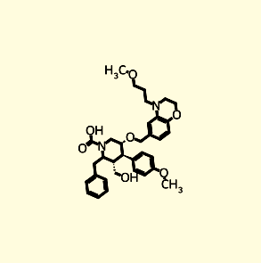 COCCCN1CCOc2ccc(CO[C@H]3CN(C(=O)O)C(Cc4ccccc4)[C@@H](CO)[C@@H]3c3ccc(OC)cc3)cc21